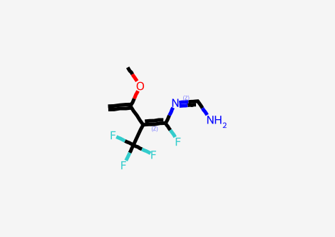 C=C(OC)/C(=C(F)\N=C/N)C(F)(F)F